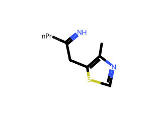 CCCC(=N)Cc1s[c]nc1C